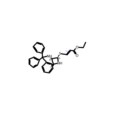 CCOC(=O)/C=C/S[C@H]1NC(=O)[C@H]1NC(c1ccccc1)(c1ccccc1)c1ccccc1